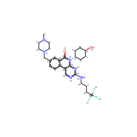 CN1CCN(Cc2ccc3c(c2)c(=O)n([C@H]2CC[C@H](O)CC2)c2nc(NCCCC(F)(F)F)ncc32)CC1